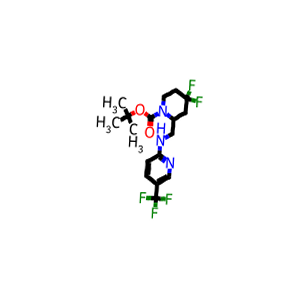 CC(C)(C)OC(=O)N1CCC(F)(F)CC1CNc1ccc(C(F)(F)F)cn1